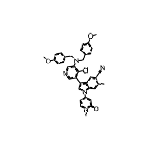 COc1ccc(CN(Cc2ccc(OC)cc2)c2cncc(-c3cn(-c4ccn(C)c(=O)c4)c4cc(C)c(C#N)cc34)c2Cl)cc1